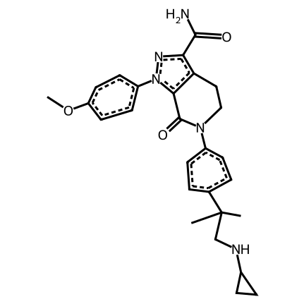 COc1ccc(-n2nc(C(N)=O)c3c2C(=O)N(c2ccc(C(C)(C)CNC4CC4)cc2)CC3)cc1